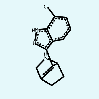 Clc1cccc2c(C3=CC4CCC3NC4)n[nH]c12